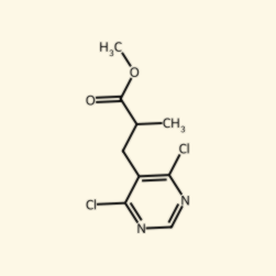 COC(=O)C(C)Cc1c(Cl)ncnc1Cl